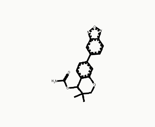 CC1(C)COc2cc(-c3ccc4nonc4c3)ccc2C1OC(N)=O